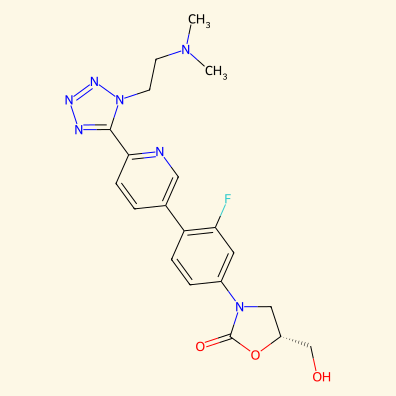 CN(C)CCn1nnnc1-c1ccc(-c2ccc(N3C[C@H](CO)OC3=O)cc2F)cn1